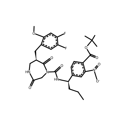 CCC[C@@H](NC(=O)N1CC(=O)NC[C@@H](Cc2cc(F)c(F)cc2OC)C1=O)c1ccc(C(=O)OC(C)(C)C)c([N+](=O)[O-])c1